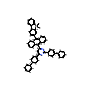 C[Si]1(C)c2ccccc2-c2ccc(-c3c4ccccc4c(-c4cc(-c5ccc(-c6ccccc6)cc5)nc(-c5ccc(-c6ccccc6)cc5)n4)c4ccccc34)cc21